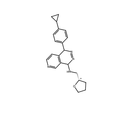 c1cc2c(cn1)C(NC[C@@H]1CCCO1)N=NC2c1ccc(C2CC2)cc1